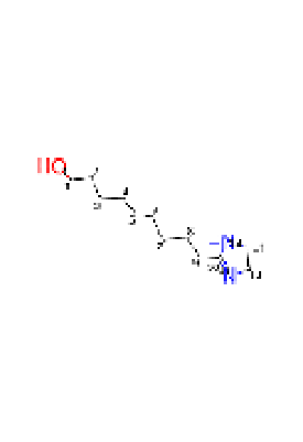 OCCCCCCCCCc1ncc[nH]1